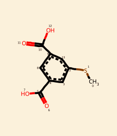 CSc1cc(C(=O)O)cc(C(=O)O)c1